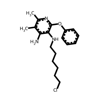 Cc1nc(Oc2ccccc2)c(NCCCCCCCl)c(N)c1C